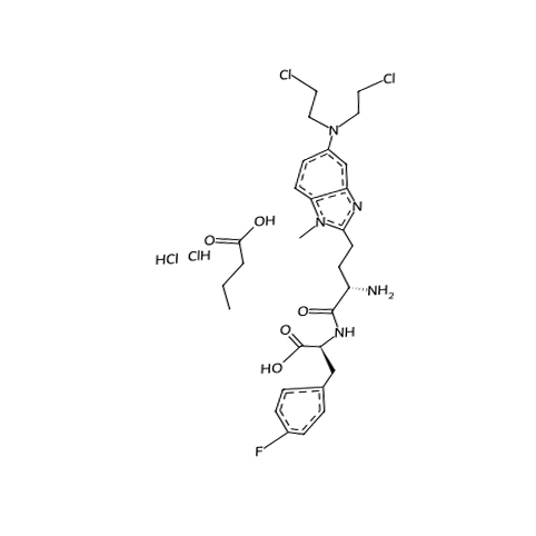 CCCC(=O)O.Cl.Cl.Cn1c(CC[C@H](N)C(=O)N[C@@H](Cc2ccc(F)cc2)C(=O)O)nc2cc(N(CCCl)CCCl)ccc21